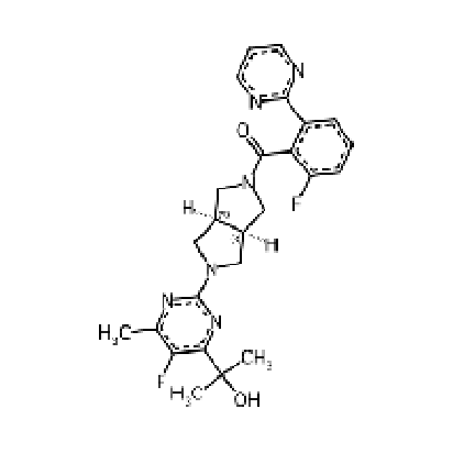 Cc1nc(N2C[C@H]3CN(C(=O)c4c(F)cccc4-c4ncccn4)C[C@H]3C2)nc(C(C)(C)O)c1F